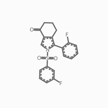 O=C1CCCc2c1cn(S(=O)(=O)c1cccc(F)c1)c2-c1ccccc1F